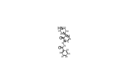 O=C(CCn1ccnc(N2CCNCC2)c1=O)c1ccccc1